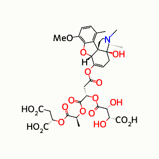 COc1ccc(C)c2c1O[C@H]1C(OC(=O)C[C@H](OC(=O)[C@H](O)[C@@H](O)C(=O)O)C(=O)O[C@@H](C)C(=O)O[C@@H](CC(=O)O)C(=O)O)=CC[C@@]3(O)[C@@H](C)N(C)CC[C@]213